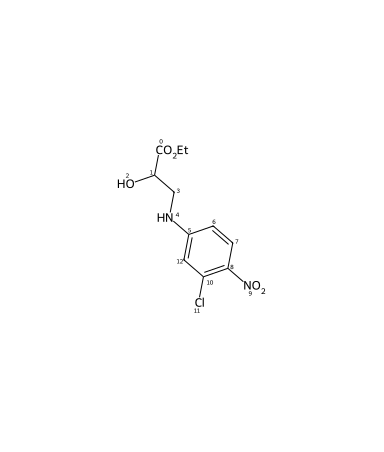 CCOC(=O)C(O)CNc1ccc([N+](=O)[O-])c(Cl)c1